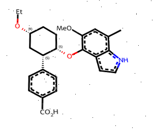 CCO[C@@H]1CC[C@H](Oc2c(OC)cc(C)c3[nH]ccc23)[C@H](c2ccc(C(=O)O)cc2)C1